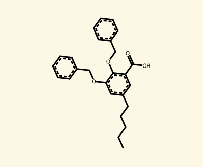 CCCCCc1cc(OCc2ccccc2)c(OCc2ccccc2)c(C(=O)O)c1